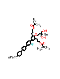 C=C(C)C(=O)OCCCc1cc(-c2ccc(-c3ccc(C4CCC(CCCCC)CC4)cc3)cc2F)cc(CCCOC(=O)C(=C)C)c1OCCC(CO)(CO)CCCC